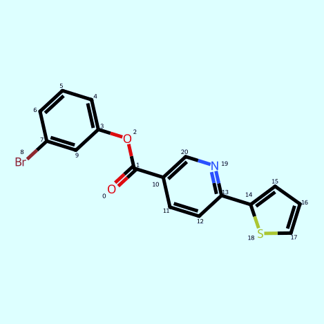 O=C(Oc1cccc(Br)c1)c1ccc(-c2cccs2)nc1